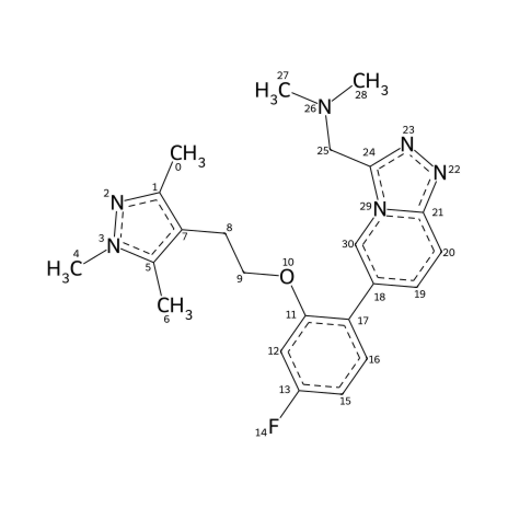 Cc1nn(C)c(C)c1CCOc1cc(F)ccc1-c1ccc2nnc(CN(C)C)n2c1